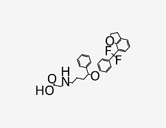 O=C(O)CNCCCC(Oc1ccc(C(F)(F)c2cccc3c2OCC3)cc1)c1ccccc1